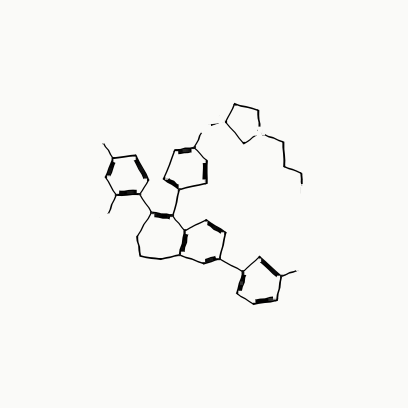 Oc1cccc(-c2ccc3c(c2)CCCC(c2ccc(Cl)cc2Cl)=C3c2ccc(O[C@H]3CCN(CCCF)C3)cc2)c1